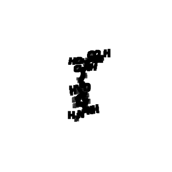 C#C[C@@H](NC(=O)CCC(=O)Nc1ccc(C(=N)N)cc1)C(CC)C(=O)O